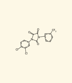 O=C1C(=O)N(c2ccc(Cl)c(Cl)c2)C(=O)N1c1cccc(C(F)(F)F)c1